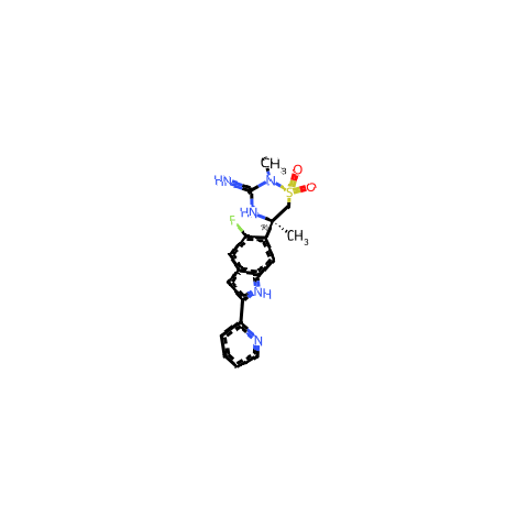 CN1C(=N)N[C@](C)(c2cc3[nH]c(-c4ccccn4)cc3cc2F)CS1(=O)=O